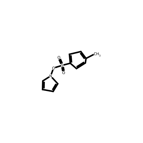 Cc1ccc(S(=O)(=O)On2cccc2)cc1